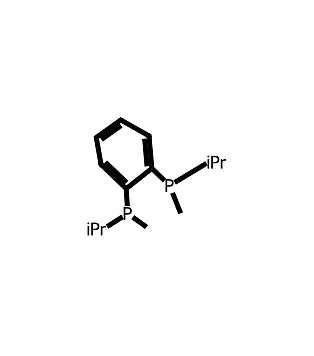 CC(C)P(C)c1ccccc1P(C)C(C)C